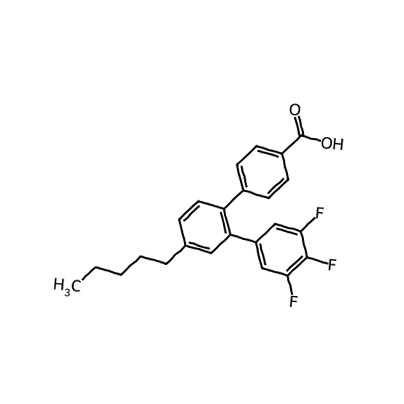 CCCCCc1ccc(-c2ccc(C(=O)O)cc2)c(-c2cc(F)c(F)c(F)c2)c1